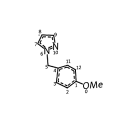 COc1ccc(Cn2c[c]cn2)cc1